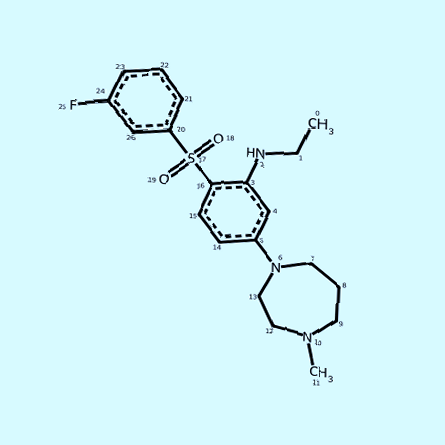 CCNc1cc(N2CCCN(C)CC2)ccc1S(=O)(=O)c1cccc(F)c1